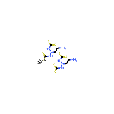 NCCN(NC(=S)[S-])NC(=S)[S-].NCCN(NC(=S)[S-])NC(=S)[S-].[Mn+2].[Zn+2]